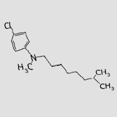 CC(C)CCCCCCN(C)c1ccc(Cl)cc1